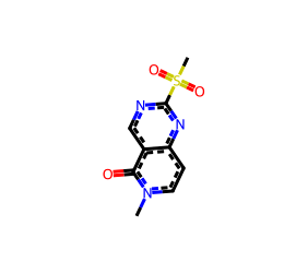 Cn1ccc2nc(S(C)(=O)=O)ncc2c1=O